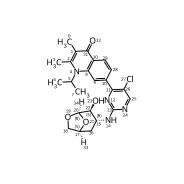 Cc1c(C)n(C(C)C)c2cc(-c3nc(N[C@@H]4C[C@H]5CO[C@H](O5)[C@H]4O)ncc3Cl)ccc2c1=O